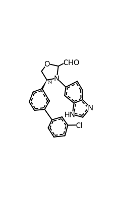 O=CC1OC[C@H](c2cccc(-c3cccc(Cl)c3)c2)N1c1ccc2nc[nH]c2c1